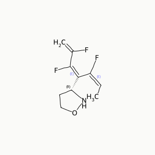 C=C(F)/C(F)=C(\C(F)=C/C)[C@H]1CCON1